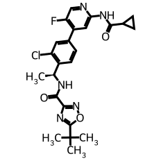 C[C@H](NC(=O)c1noc(C(C)(C)C)n1)c1ccc(-c2cc(NC(=O)C3CC3)ncc2F)cc1Cl